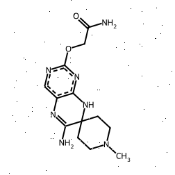 CN1CCC2(CC1)Nc1nc(OCC(N)=O)ncc1N=C2N